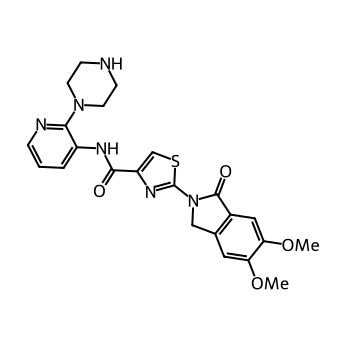 COc1cc2c(cc1OC)C(=O)N(c1nc(C(=O)Nc3cccnc3N3CCNCC3)cs1)C2